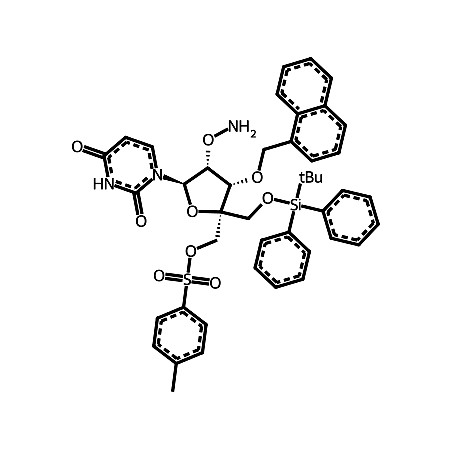 Cc1ccc(S(=O)(=O)OC[C@]2(CO[Si](c3ccccc3)(c3ccccc3)C(C)(C)C)O[C@@H](n3ccc(=O)[nH]c3=O)[C@H](ON)[C@@H]2OCc2cccc3ccccc23)cc1